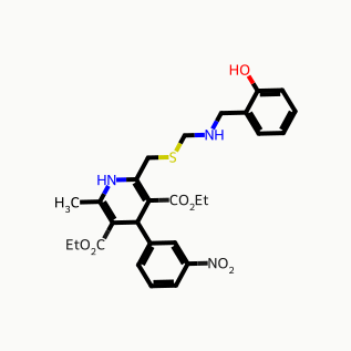 CCOC(=O)C1=C(C)NC(CSCNCc2ccccc2O)=C(C(=O)OCC)C1c1cccc([N+](=O)[O-])c1